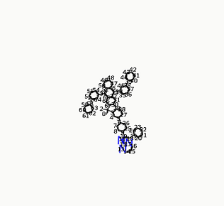 CC1(C)c2cc(-c3ccc(-c4nc5ncccn5c4-c4ccccc4)cc3)ccc2-c2cc3c(-c4cccc(-c5ccccc5)c4)c4ccccc4c(-c4cccc(-c5ccccc5)c4)c3cc21